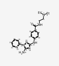 CCN(CC)CCNC(=O)c1ccc(Nc2nc(N)n(-c3ccccn3)n2)cc1